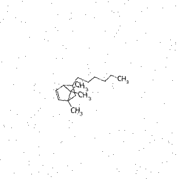 CCCCCCC1CC2(C)C=CC1C2(C)C